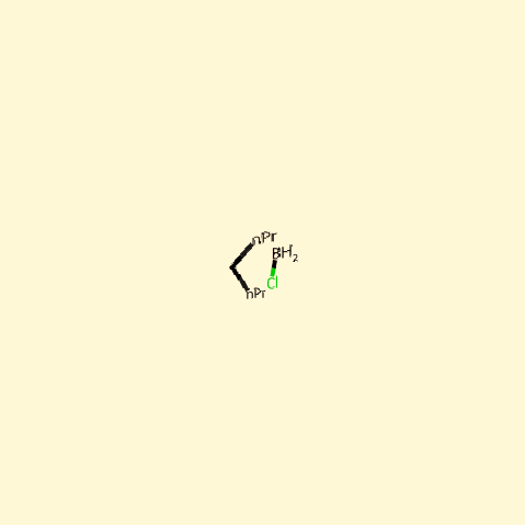 BCl.CCCCCCC